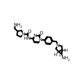 NCC1CCN(C(=O)Nc2ccn(-c3ccc(CN4C[C@@H]5[C@@H](N)[C@@H]5C4)cc3)c(=O)n2)C1